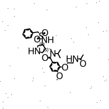 COc1ccc(C(=O)N(C[C@@H]2CNC[C@H]2NS(=O)(=O)Cc2ccccc2)C(C)C)cc1OCCNC(C)=O